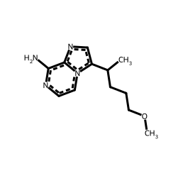 COCCCC(C)c1cnc2c(N)nccn12